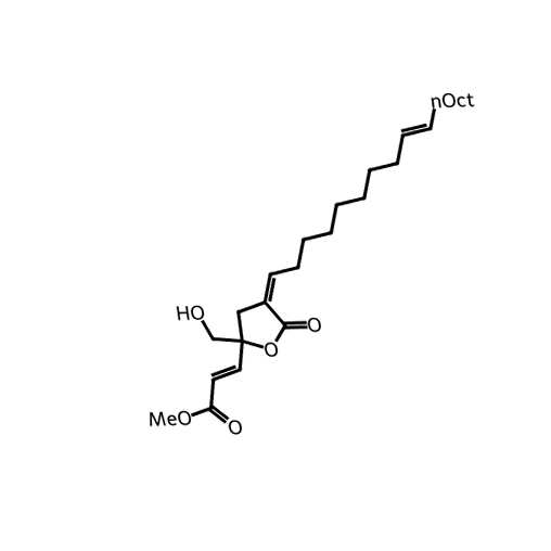 CCCCCCCCC=CCCCCCCCC=C1CC(C=CC(=O)OC)(CO)OC1=O